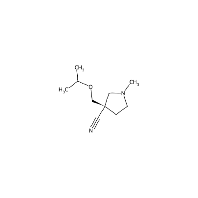 CC(C)OC[C@]1(C#N)CCN(C)C1